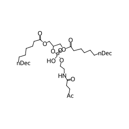 CCCCCCCCCCCCCCCC(=O)OCC(COC(=O)CCCCCCCCCCCCCCC)OP(=O)(O)OCCNC(=O)CCC(C)=O